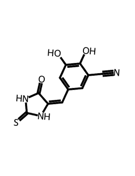 N#Cc1cc(C=C2NC(=S)NC2=O)cc(O)c1O